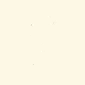 COc1cccc(C(C(OC(C)=O)C2CCS(=O)(=O)CC2)S(=O)(=O)c2ccccc2)c1C